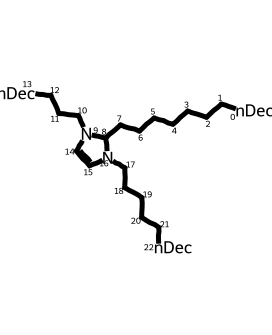 CCCCCCCCCCCCCCCCCC1N(CCCCCCCCCCCCC)C=CN1CCCCCCCCCCCCCCC